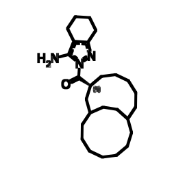 Nc1c2c(nn1C(=O)[C@H]1CCCCCC3CCCCCCCC(CC3)C1)CCCC2